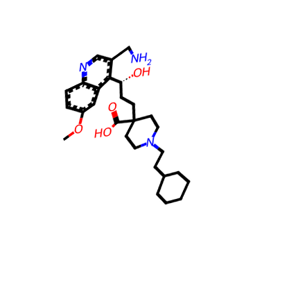 COc1ccc2ncc(CN)c([C@H](O)CCC3(C(=O)O)CCN(CCC4CCCCC4)CC3)c2c1